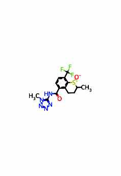 CC1CCc2c(C(=O)Nc3nnnn3C)ccc(C(F)(F)F)c2[S+]1[O-]